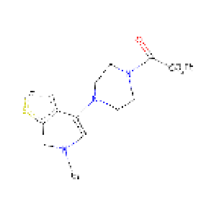 CCOC(=O)C(=O)N1CCN(C2=CN(CC)Cc3sccc32)CC1